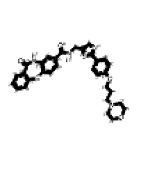 O=C(NCc1cnc(-c2ccc(OCCCN3CCOCC3)cc2)s1)c1ccc2c(c1)NC(=O)c1ccccc1S2